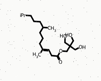 CC(=CCC(=O)OCC(CO)(CO)CO)CCCC(C)CCCC(C)C